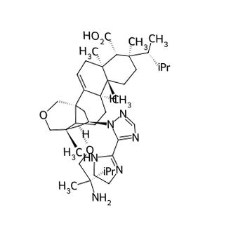 CC(C)[C@@H](C)[C@@]1(C)CC[C@]2(C)[C@H]3CC[C@@H]4[C@@]5(COC[C@@]4(C)[C@@H](OC[C@](C)(N)C(C)C)[C@H](n4ncnc4C4=NCCN4)C5)C3=CC[C@@]2(C)[C@@H]1C(=O)O